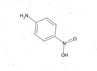 Nc1ccc([N+](=O)O)cc1